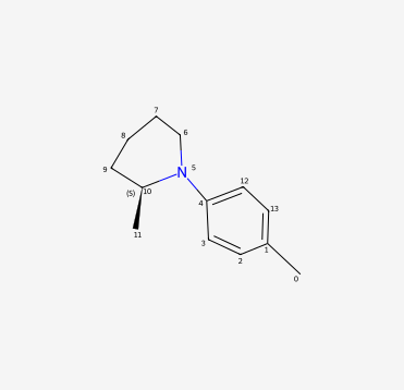 Cc1ccc(N2CCCC[C@@H]2C)cc1